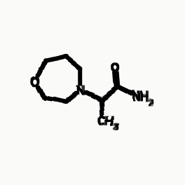 CC(C(N)=O)N1CCCOCC1